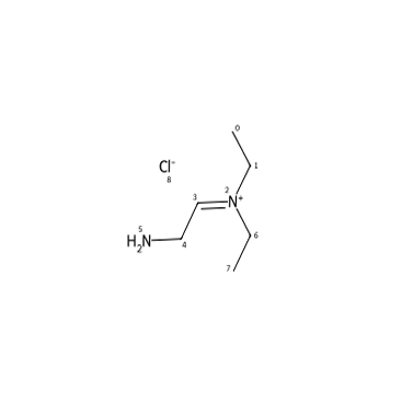 CC[N+](=CCN)CC.[Cl-]